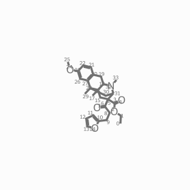 CCOC(=O)C1(C(=O)CCc2ccco2)CC2(C)C3Cc4ccc(OC)cc4C2(C)CC1N3C